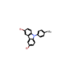 CCCCc1ccc(-n2c3ccc(Br)cc3c3cc(Br)ccc32)cc1